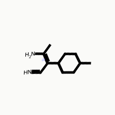 C/C(N)=C(/C=N)C1CCC(C)CC1